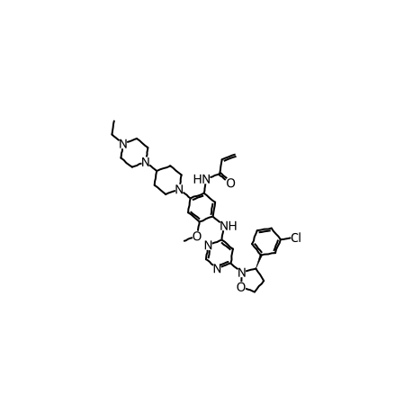 C=CC(=O)Nc1cc(Nc2cc(N3OCC[C@@H]3c3cccc(Cl)c3)ncn2)c(OC)cc1N1CCC(N2CCN(CC)CC2)CC1